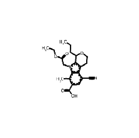 CCCC1OCCc2c1n(CC(=O)OCC)c1c(C)c(C(=O)O)cc(C#N)c21